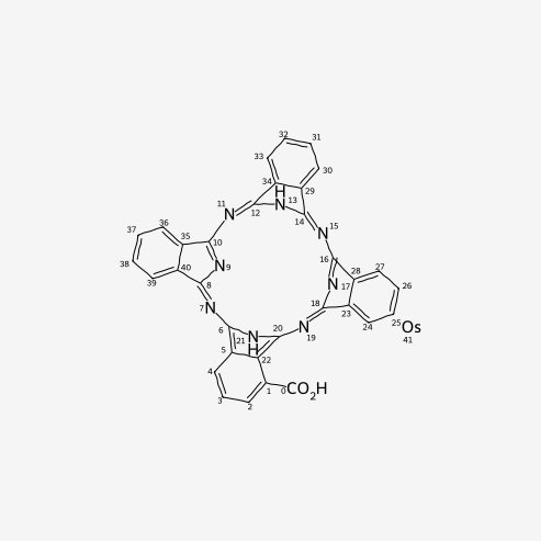 O=C(O)c1cccc2c3nc4nc(nc5[nH]c(nc6nc(nc([nH]3)c12)-c1ccccc1-6)c1ccccc51)-c1ccccc1-4.[Os]